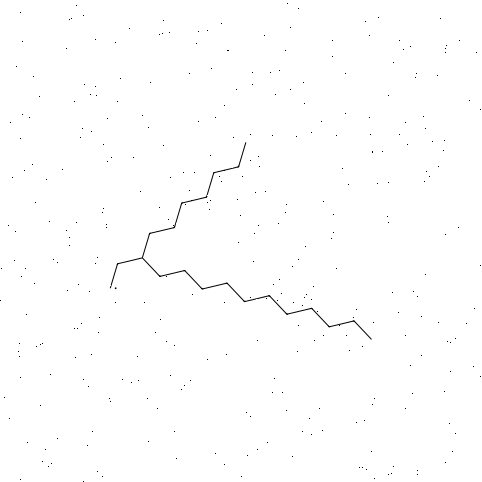 [CH2]CC(CCCCCCC)CCCCCCCCCCC